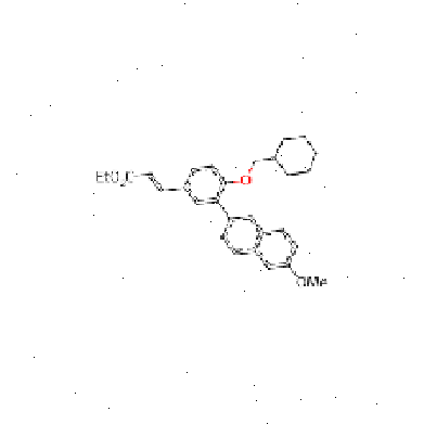 CCOC(=O)C=Cc1ccc(OCC2CCCCC2)c(-c2ccc3cc(OC)ccc3c2)c1